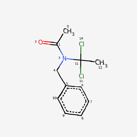 CC(=O)N(Cc1ccccc1)C(C)(Cl)Cl